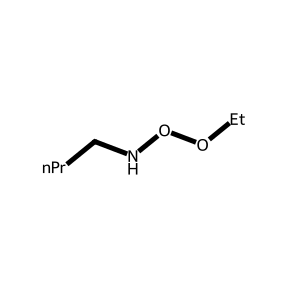 CCCCNOOCC